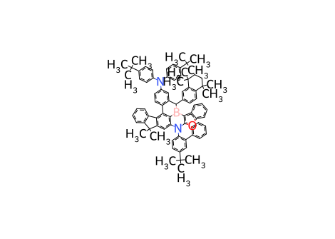 CC(C)(C)c1ccc(N(c2ccc(C(C)(C)C)cc2)c2ccc3c(c2)C(c2ccc4c(c2)C(C)(C)CCC4(C)C)B2c4c(cc5c(c4-3)-c3ccccc3C5(C)C)N(c3ccc(C(C)(C)C)cc3-c3ccccc3)c3oc4ccccc4c32)cc1